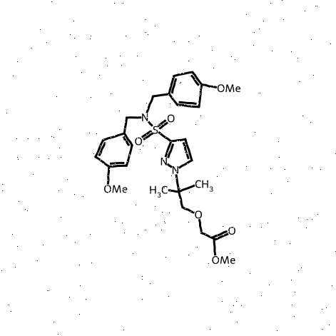 COC(=O)COCC(C)(C)n1ccc(S(=O)(=O)N(Cc2ccc(OC)cc2)Cc2ccc(OC)cc2)n1